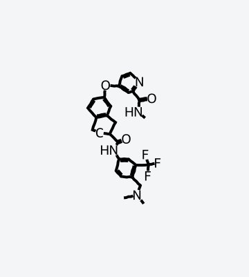 CNC(=O)c1cc(Oc2ccc3c(c2)CC(C(=O)Nc2ccc(CN(C)C)c(C(F)(F)F)c2)CC3)ccn1